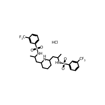 CC(CC1CCCC(CC(C)NS(=O)(=O)c2cccc(C(F)(F)F)c2)N1)NS(=O)(=O)c1cccc(C(F)(F)F)c1.Cl